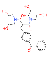 O=C(c1ccccc1)c1ccc(CC(C(=O)N(CCO)CCO)C(O)N(CCO)CCO)cc1